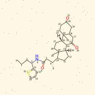 CCCC(NC(=O)C[C@@H](C)C1CC[C@H]2C3C(=O)CC4CC(=O)CCC4(C)[C@H]3CCC12C)c1cccs1